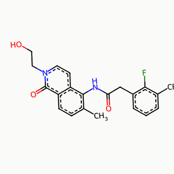 Cc1ccc2c(=O)n(CCO)ccc2c1NC(=O)Cc1cccc(C(F)(F)F)c1F